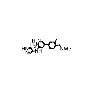 CNCc1ccc(C(/C=C(\N)Nc2cn[nH]c2)=C/N)cc1C